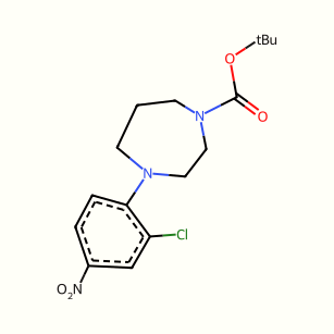 CC(C)(C)OC(=O)N1CCCN(c2ccc([N+](=O)[O-])cc2Cl)CC1